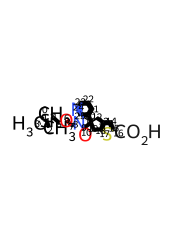 C[Si](C)(C)CCOCN1C(=O)[C@]2(Cc3cc(C(=O)O)sc3C2)c2cccnc21